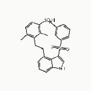 Cc1ccc(S(=O)(=O)O)c(C)c1CCc1cccc2[nH]cc(S(=O)(=O)c3cccc(F)c3)c12